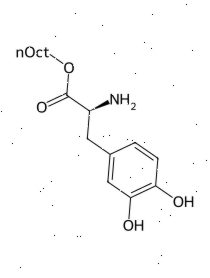 CCCCCCCCOC(=O)[C@@H](N)Cc1ccc(O)c(O)c1